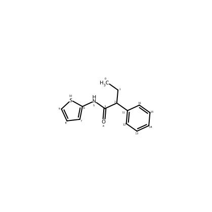 CCC(C(=O)Nc1cccs1)c1ccccc1